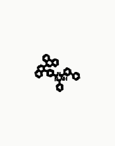 c1ccc(-c2cccc(C3=NC(c4ccc(-c5c(-c6cc7ccccc7c7ccccc67)ccc6ccccc56)cc4)=NC(c4ccccc4)N3)c2)cc1